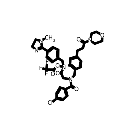 CN1CCN=C1c1ccc(C[N+]2(OC(=O)C(F)(F)F)C(=O)CN(C(=O)c3ccc(Cl)cc3)Cc3ccc(CCC(=O)N4CCOCC4)cc32)cc1